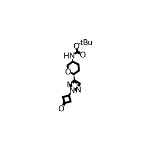 CC(C)(C)OC(=O)N[C@@H]1CC[C@@H](c2cnn(C3CC(=O)C3)n2)OC1